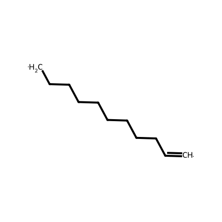 [CH]=CCCCCCCCC[CH2]